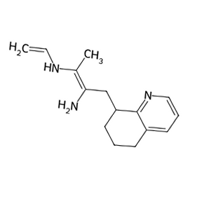 C=CN/C(C)=C(\N)CC1CCCc2cccnc21